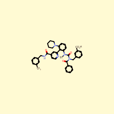 CCN(C(=O)N(Cc1cccc(C(=O)O)c1)C(=O)c1ccccc1)c1cccc(N2CCCCC2)c1-c1cc(C(=O)NCc2cccc(C(F)(F)F)c2)ccn1